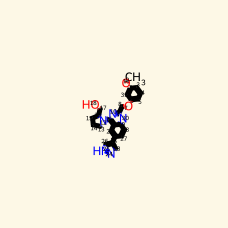 COc1cccc(OCc2nc(N3CCCC3CO)c3cc(-c4cn[nH]c4)ccc3n2)c1